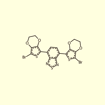 Brc1sc(-c2ccc(-c3sc(Br)c4c3OCCO4)c3nsnc23)c2c1OCCO2